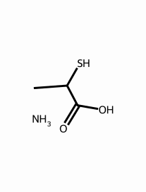 CC(S)C(=O)O.N